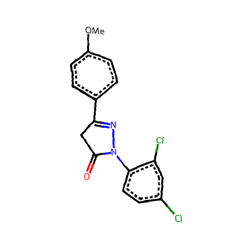 COc1ccc(C2=NN(c3ccc(Cl)cc3Cl)C(=O)C2)cc1